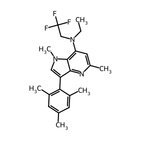 CCN(CC(F)(F)F)c1cc(C)nc2c(-c3c(C)cc(C)cc3C)cn(C)c12